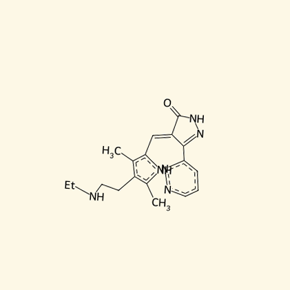 CCNCCc1c(C)[nH]c(/C=C2/C(=O)NN=C2c2cccnn2)c1C